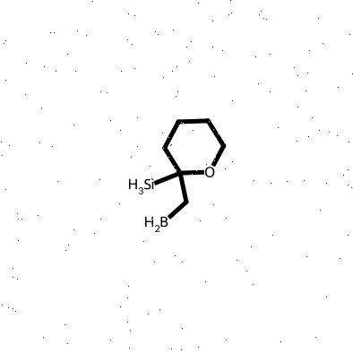 BCC1([SiH3])CCCCO1